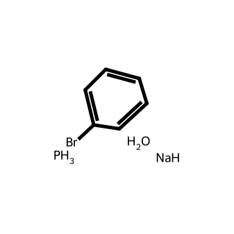 Brc1ccccc1.O.P.[NaH]